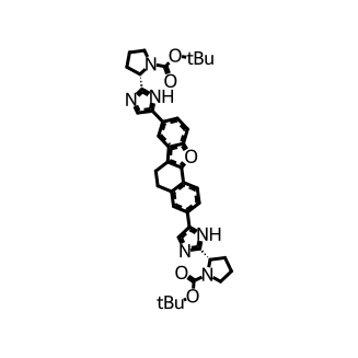 CC(C)(C)OC(=O)N1CCC[C@H]1c1ncc(-c2ccc3c(c2)CCc2c-3oc3ccc(-c4cnc([C@@H]5CCCN5C(=O)OC(C)(C)C)[nH]4)cc23)[nH]1